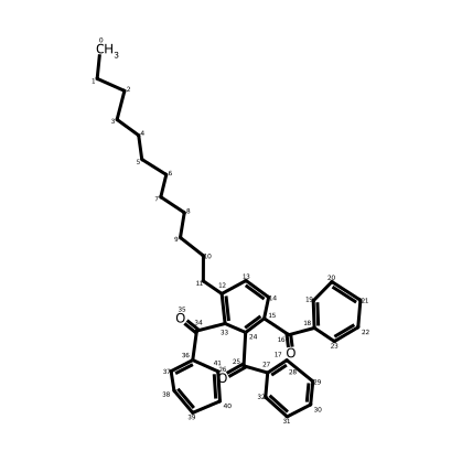 CCCCCCCCCCCCc1ccc(C(=O)c2ccccc2)c(C(=O)c2ccccc2)c1C(=O)c1ccccc1